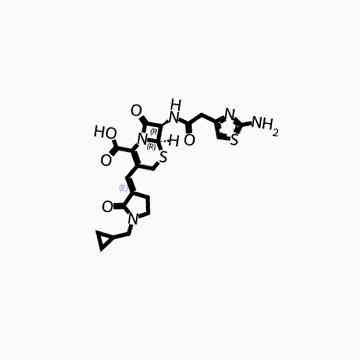 Nc1nc(CC(=O)N[C@@H]2C(=O)N3C(C(=O)O)=C(/C=C4\CCN(CC5CC5)C4=O)CS[C@H]23)cs1